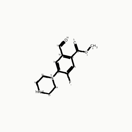 COC(=O)c1cc(F)c(N2CCNCC2)cc1C=O